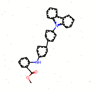 COC(=O)c1ccccc1Nc1ccc(-c2ccc(-n3c4ccccc4c4ccccc43)cc2)cc1